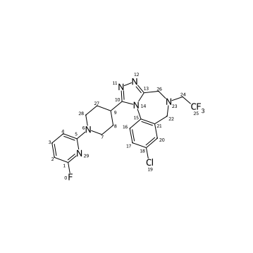 Fc1cccc(N2CCC(c3nnc4n3-c3ccc(Cl)cc3CN(CC(F)(F)F)C4)CC2)n1